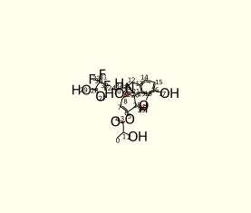 CC(O)C(=O)OC1=CC[C@@]2(O)[C@H]3Cc4ccc(O)c5c4[C@@]2(CCN3C)[C@H]1O5.O=C(O)C(F)(F)F